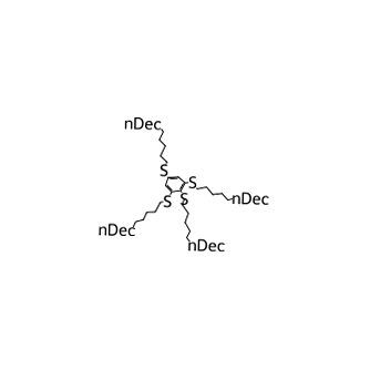 CCCCCCCCCCCCCCCSc1cc(SCCCCCCCCCCCCCCC)c(SCCCCCCCCCCCCCCC)c(SCCCCCCCCCCCCCCC)c1